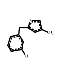 Cc1[c]sc(Cc2cccc(Cl)c2)c1